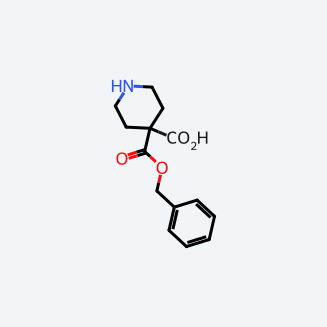 O=C(O)C1(C(=O)OCc2ccccc2)CCNCC1